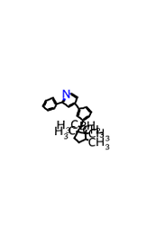 BC(C)(c1cccc(-c2ccnc(-c3ccccc3)c2)c1)C1(C)CCC(C)C1(C)C